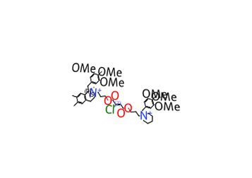 COc1cc(C[C@@H]2c3cc(C)c(C)cc3CC[N@@+]2(C)CCCOC(=O)/C(Cl)=C/C(=O)OCCC[N+]2(Cc3cc(OC)c(OC)c(OC)c3)CCCCC2)cc(OC)c1OC